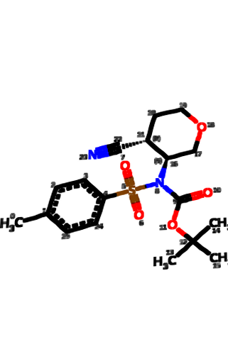 Cc1ccc(S(=O)(=O)N(C(=O)OC(C)(C)C)[C@@H]2COCC[C@H]2C#N)cc1